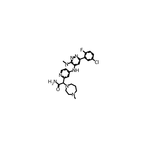 CN1CCCN(C(C(N)=O)c2cc(Nc3cc(-c4cc(Cl)ccc4F)nnc3N(C)C)ccn2)CC1